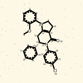 COc1ccccc1N1CCC2=C1C[C@@H](c1ccccc1)N(c1ccc(Cl)cc1)C2=O